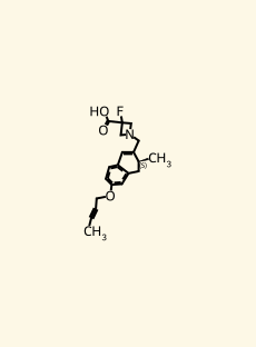 CC#CCOc1ccc2c(c1)C[C@H](C)C(CN1CC(F)(C(=O)O)C1)=C2